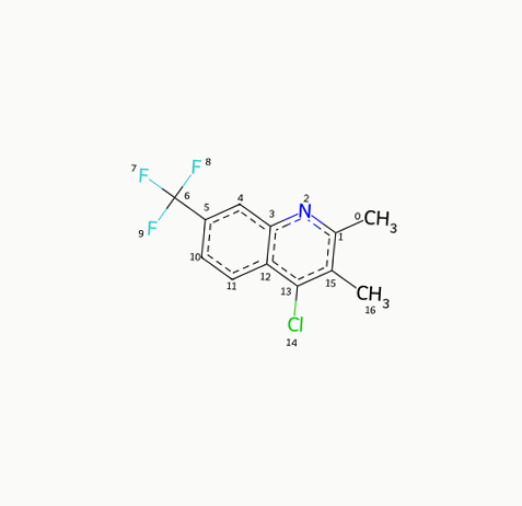 Cc1nc2cc(C(F)(F)F)ccc2c(Cl)c1C